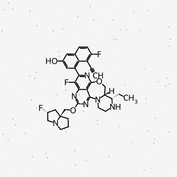 C#Cc1c(F)ccc2cc(O)cc(-c3nc4c5c(nc(OC[C@@]67CCCN6C[C@H](F)C7)nc5c3F)N3CCN[C@@H](CC)[C@H]3CO4)c12